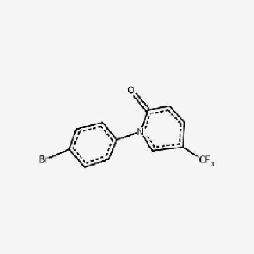 O=c1ccc(C(F)(F)F)cn1-c1ccc(Br)cc1